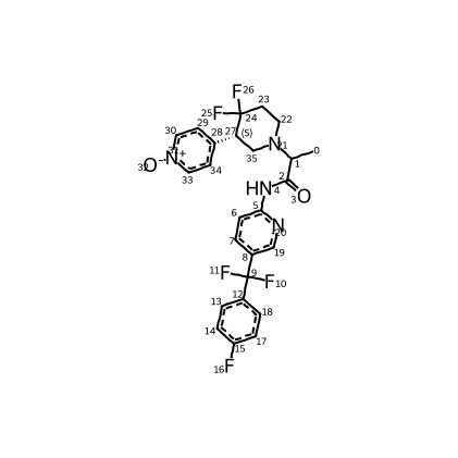 CC(C(=O)Nc1ccc(C(F)(F)c2ccc(F)cc2)cn1)N1CCC(F)(F)[C@@H](c2cc[n+]([O-])cc2)C1